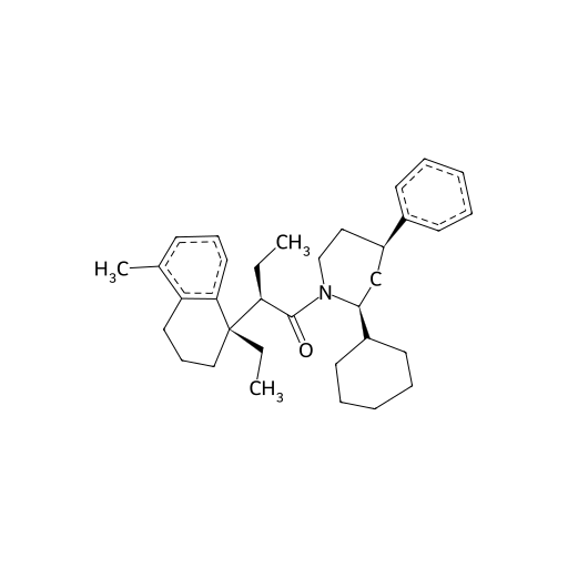 CC[C@@H](C(=O)N1CC[C@@H](c2ccccc2)C[C@H]1C1CCCCC1)[C@]1(CC)CCCc2c(C)cccc21